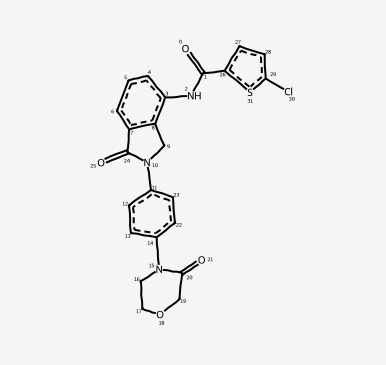 O=C(Nc1cccc2c1CN(c1ccc(N3CCOCC3=O)cc1)C2=O)c1ccc(Cl)s1